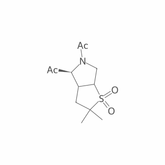 CC(=O)[C@@H]1C2CC(C)(C)S(=O)(=O)C2CN1C(C)=O